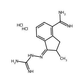 CC1Cc2c(C(=N)N)cccc2C1=NNC(=N)N.Cl.Cl